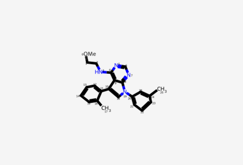 COCCNc1ncnc2c1c(-c1ccccc1C)cn2-c1cccc(C)c1